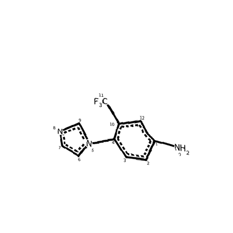 Nc1ccc(-n2ccnc2)c(C(F)(F)F)c1